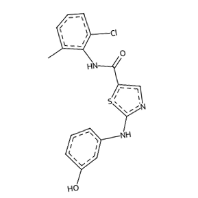 Cc1cccc(Cl)c1NC(=O)c1cnc(Nc2cccc(O)c2)s1